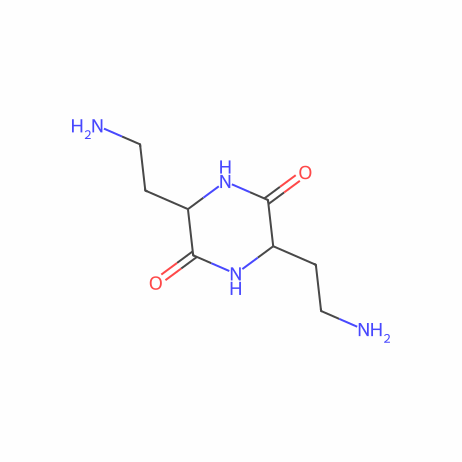 NCCC1NC(=O)C(CCN)NC1=O